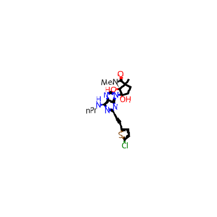 CCCNc1nc(C#Cc2ccc(Cl)s2)nc2c1ncn2[C@]1(O)CCC(C)(C(=O)NC)[C@]1(C)O